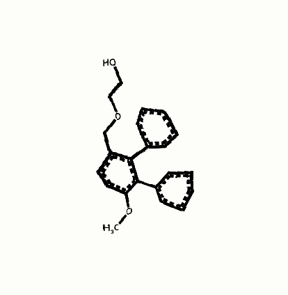 COc1ccc(COCCO)c(-c2ccccc2)c1-c1ccccc1